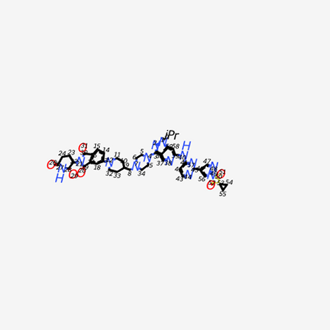 CC(C)n1nc(N2CCN(CC3CCN(c4ccc5c(c4)C(=O)N(C4CCC(=O)NC4=O)C5=O)CC3)CC2)c2cnc(Nc3ccnc(-c4cnn(S(=O)(=O)C5CC5)c4)n3)cc21